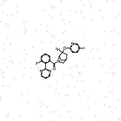 [2H]C1(Oc2ccc(C)cn2)CC2CC1N(C(=O)c1cccc(F)c1-c1ncccn1)C2